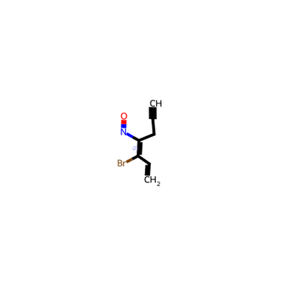 C#CC/C(N=O)=C(/Br)C=C